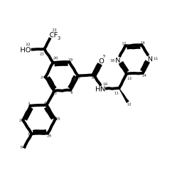 Cc1ccc(-c2cc(C(=O)N[C@H](C)c3cnccn3)cc(C(O)C(F)(F)F)c2)cc1